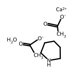 C1CCNCC1.CC(=O)[O-].CC(=O)[O-].O.[Ca+2]